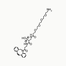 NCCOCCOCCOCCOCCC(=O)NCC(C(=O)NCCC(=O)N1Cc2ccccc2C#Cc2ccccc21)S(=O)(=O)O